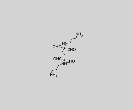 NCCCNC(C=O)(C=O)CCC(C=O)(C=O)NCCCN